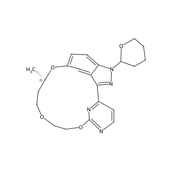 C[C@H]1CCOCCOc2nccc(n2)-c2nn(C3CCCCO3)c3ccc(cc23)O1